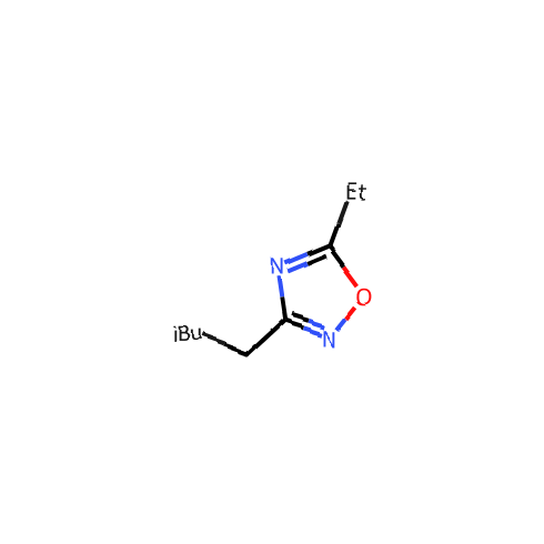 CCc1nc(CC(C)CC)no1